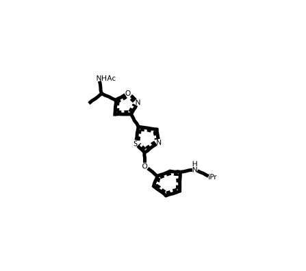 CC(=O)NC(C)c1cc(-c2cnc(Oc3cccc(NC(C)C)c3)s2)no1